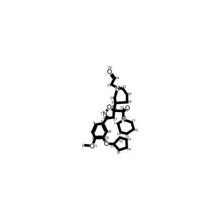 COc1ccc(C2=NOC(C(=O)N3CCCCC3)(C3CCCN(CC=O)C3)C2)cc1OC1CCCC1